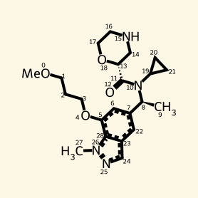 COCCCOc1cc([C@H](C)N(C(=O)[C@H]2CNCCO2)C2CC2)cc2cnn(C)c12